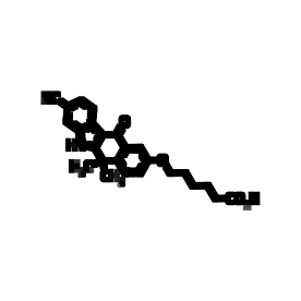 CC1(C)c2ccc(OCCCCCC(=O)O)cc2C(=O)c2c1[nH]c1cc(C#N)ccc21